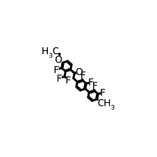 CCOc1ccc(C(=O)Cc2ccc(-c3ccc(C)c(F)c3F)c(F)c2F)c(C(F)F)c1F